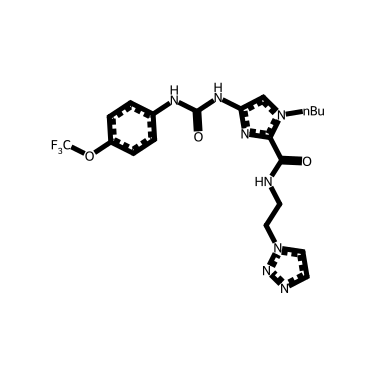 CCCCn1cc(NC(=O)Nc2ccc(OC(F)(F)F)cc2)nc1C(=O)NCCn1ccnn1